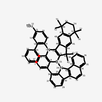 Cc1cc2c3c(c1)N(c1ccc(C(C)(C)C)cc1-c1ccccc1)C1=C(B3n3c4c-2cccc4c2ccc4ccccc4c23)C(C)(C)c2cc3c(cc21)C(C)(C)CCC3(C)C